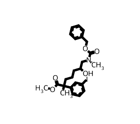 COC(=O)C(C)(CCCC(O)CN(C)C(=O)OCc1ccccc1)c1cccc(I)c1